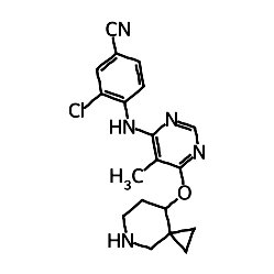 Cc1c(Nc2ccc(C#N)cc2Cl)ncnc1OC1CCNCC12CC2